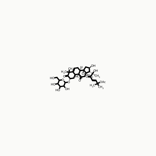 CC(=O)OC(C)(C)/C=C/C(=O)[C@](C)(O)[C@H]1[C@H](O)C[C@@]2(C)[C@@H]3CC=C4[C@@H](C[C@H](OC5OC(CO)C(O)C(O)C5O)C(=O)C4(C)C)[C@]3(C)C(=O)C[C@]12C